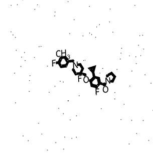 Cc1cc(CN2CCC(F)(COc3cc(F)c(C(=O)N4CCCC4)cc3C3CC3)CC2)ccc1F